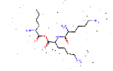 CCCCC(N)C(=O)OC(=O)C(CCCCN)NC(=O)C(N)CCCCN